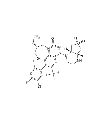 CO[C@@H]1CSc2c(-c3cc(Cl)c(F)cc3F)c(C(F)(F)F)cc3c(N4CCN[C@H]5CS(=O)(=O)C[C@H]54)nc(=O)n(c23)C1